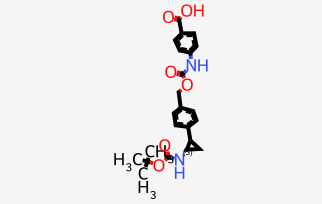 CC(C)(C)OC(=O)N[C@H]1CC1c1ccc(COC(=O)Nc2ccc(C(=O)O)cc2)cc1